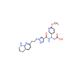 COc1ccc(C(CC(=O)O)NC(=O)c2cnn(CCCc3ccc4c(n3)NCCC4)c2)cn1